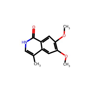 COc1cc2c(C)c[nH]c(=O)c2cc1OC